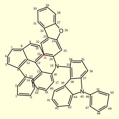 c1ccc(-c2cccc3cccc(-c4ccccc4N(c4ccc5c(c4)oc4ccccc45)c4cccc5c4c4ccccc4n5-c4ccccc4)c23)cc1